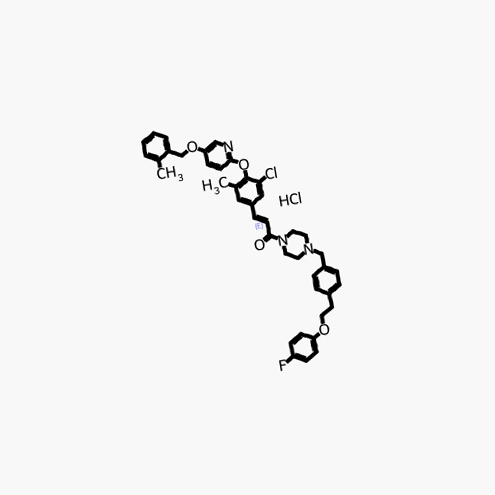 Cc1ccccc1COc1ccc(Oc2c(C)cc(/C=C/C(=O)N3CCN(Cc4ccc(CCOc5ccc(F)cc5)cc4)CC3)cc2Cl)nc1.Cl